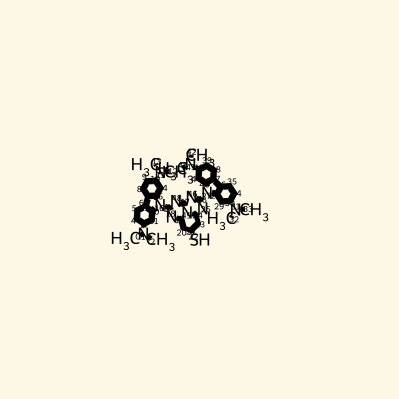 CN(C)c1ccc2c3ccc(N(C)C)cc3n(C3=NC4=CC(S)=CC5=NC(n6c7cc(N(C)C)ccc7c7ccc(N(C)C)cc76)=NC(=N3)N45)c2c1